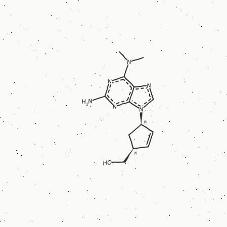 CN(C)c1nc(N)nc2c1ncn2[C@H]1C=C[C@@H](CO)C1